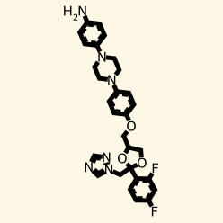 Nc1ccc(N2CCN(c3ccc(OCC4COC(Cn5cncn5)(c5ccc(F)cc5F)O4)cc3)CC2)cc1